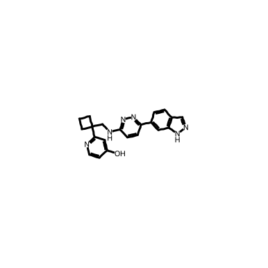 Oc1ccnc(C2(CNc3ccc(-c4ccc5cn[nH]c5c4)nn3)CCC2)c1